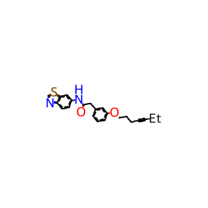 CCC#CCCCOc1cccc(CC(=O)Nc2ccc3ncsc3c2)c1